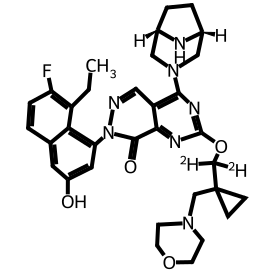 [2H]C([2H])(Oc1nc(N2C[C@H]3CC[C@@H](C2)N3)c2cnn(-c3cc(O)cc4ccc(F)c(CC)c34)c(=O)c2n1)C1(CN2CCOCC2)CC1